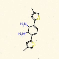 Cc1csc(C2=CC=C(c3cc(C)cs3)C(N)C2N)c1